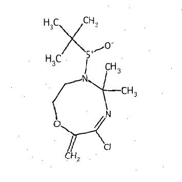 C=C1OCCN([S+]([O-])C(C)(C)C)C(C)(C)/N=C\1Cl